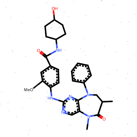 COc1cc(C(=O)NC2CCC(O)CC2)ccc1Nc1ncc2c(n1)N(c1ccccc1)CC(C)C(=O)N2C